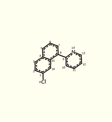 Clc1ccc2cccc(-c3ccccn3)c2c1